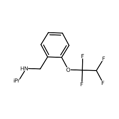 CC(C)NCc1ccccc1OC(F)(F)C(F)F